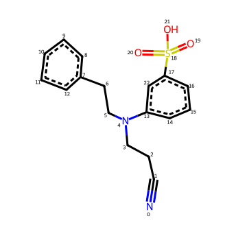 N#CCCN(CCc1ccccc1)c1cccc(S(=O)(=O)O)c1